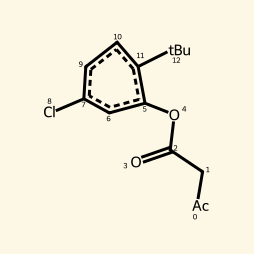 CC(=O)CC(=O)Oc1cc(Cl)ccc1C(C)(C)C